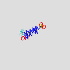 C[C@H](n1c([C@@H](C)O)nc2cnc(Nc3ccnc(NCC(C)(C)S(C)(=O)=O)n3)cc21)C(F)(F)F